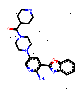 Nc1ncc(N2CCN(C(=O)C3CCNCC3)CC2)cc1-c1nc2ccccc2o1